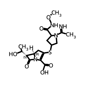 CONC(=O)C1CC(SC2=C(C(=O)O)N3C(=O)[C@H](C(C)O)[C@H]3C2)CN1C(C)=N